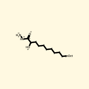 CCCCCCCCCCCCCCCCC(O)C(=O)NN